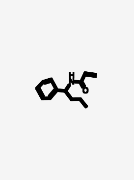 C=CC(=O)NC(CCC)c1ccccc1